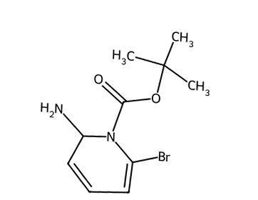 CC(C)(C)OC(=O)N1C(Br)=CC=CC1N